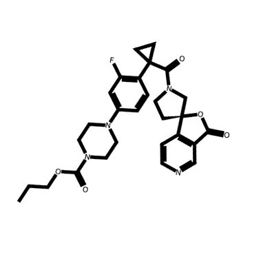 CCCOC(=O)N1CCN(c2ccc(C3(C(=O)N4CC[C@@]5(C4)OC(=O)c4cnccc45)CC3)c(F)c2)CC1